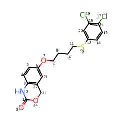 O=C1Nc2ccc(OCCCCSc3ccc(Cl)c(Cl)c3)cc2CO1